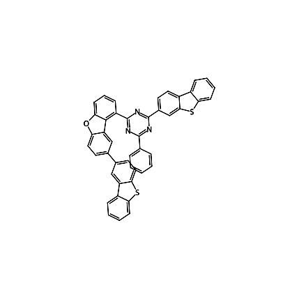 c1ccc(-c2nc(-c3ccc4c(c3)sc3ccccc34)nc(-c3cccc4oc5ccc(-c6ccc7sc8ccccc8c7c6)cc5c34)n2)cc1